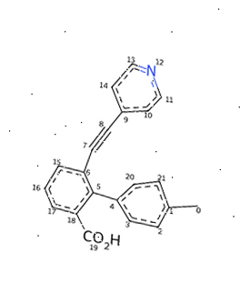 Cc1ccc(-c2c(C#Cc3ccncc3)cccc2C(=O)O)cc1